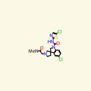 CNC(=O)CN1CCC2(C1)CN(C(=O)Nc1ncc(Cl)s1)c1ccc(Cl)cc12